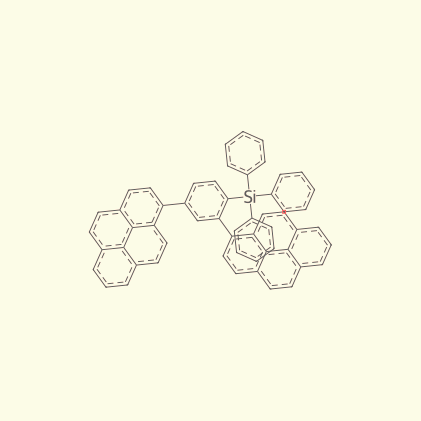 c1ccc([Si](c2ccccc2)(c2ccccc2)c2ccc(-c3ccc4ccc5cccc6ccc3c4c56)cc2-c2ccc3ccc4cccc5ccc2c3c45)cc1